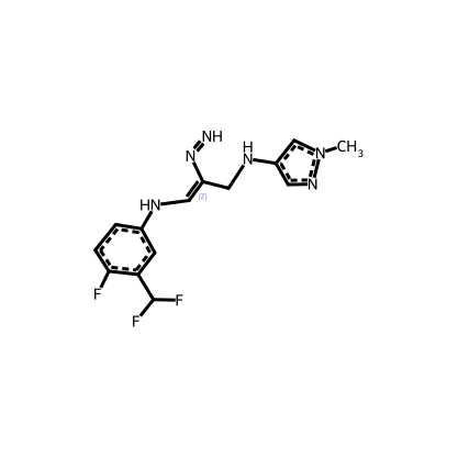 Cn1cc(NC/C(=C/Nc2ccc(F)c(C(F)F)c2)N=N)cn1